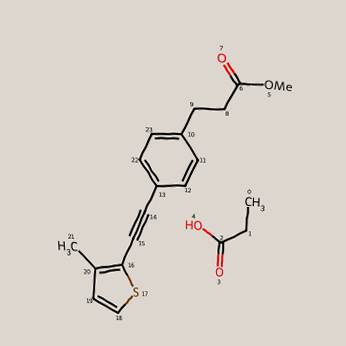 CCC(=O)O.COC(=O)CCc1ccc(C#Cc2sccc2C)cc1